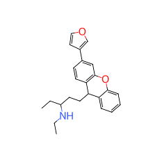 CCNC(CC)CCC1c2ccccc2Oc2cc(-c3ccoc3)ccc21